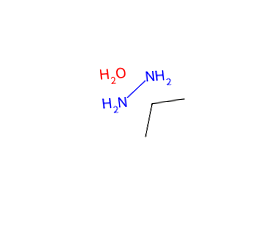 CCC.NN.O